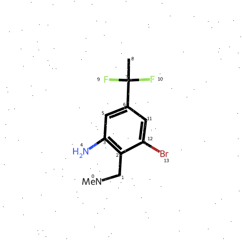 CNCc1c(N)cc(C(C)(F)F)cc1Br